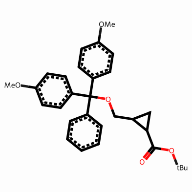 COc1ccc(C(OCC2CC2C(=O)OC(C)(C)C)(c2ccccc2)c2ccc(OC)cc2)cc1